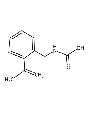 C=C(C)c1ccccc1CNC(=O)O